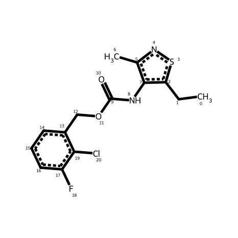 CCc1snc(C)c1NC(=O)OCc1cccc(F)c1Cl